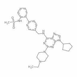 CCN1CCN(c2nc(NCc3ccc(-c4ccccc4NS(C)(=O)=O)nc3)c3ncn(C4CCCC4)c3n2)CC1